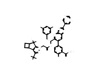 NC(=O)c1cc(-c2cc3sc(-c4cncnc4)nc3nc2[C@H](Cc2cc(F)cc(F)c2)NC(=O)Cn2nc(C(F)(F)F)c3c2C(F)(F)[C@@H]2CC[C@H]32)ccc1F